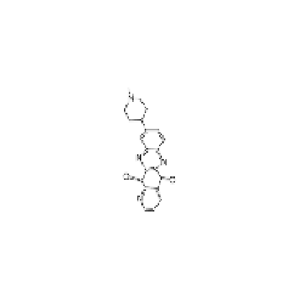 CN1CCC(c2ccc3nc4c(nc3c2)C(=O)c2ncccc2C4=O)CC1